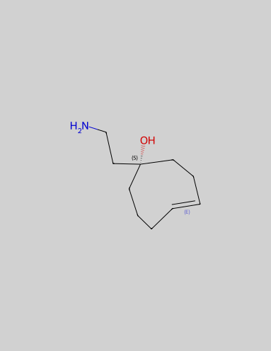 NCC[C@@]1(O)CC/C=C/CCC1